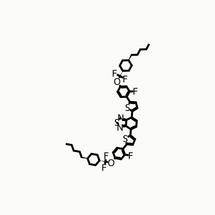 CCCCC[C@H]1CC[C@H](C(F)(F)Oc2ccc(-c3ccc(-c4ccc(-c5ccc(-c6ccc(OC(F)(F)[C@H]7CC[C@H](CCCCC)CC7)cc6F)s5)c5nsnc45)s3)c(F)c2)CC1